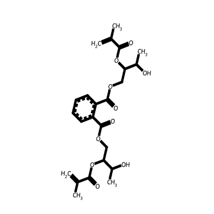 C=C(C)C(=O)OC(COC(=O)c1ccccc1C(=O)OCC(OC(=O)C(=C)C)C(C)O)C(C)O